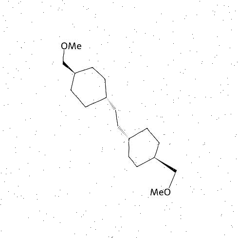 COC[C@H]1CC[C@H](CC[C@H]2CC[C@H](COC)CC2)CC1